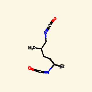 CCC(CCC(C)CN=C=O)N=C=O